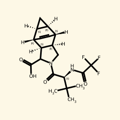 CC(C)(C)[C@H](NC(=O)C(F)(F)F)C(=O)N1C[C@@H]2[C@@H]3C=C[C@@H]([C@H]4C[C@@H]34)[C@@H]2C1C(=O)O